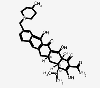 CC1CCN(Cc2ccc3cc4c(c(O)c3c2)C(=O)C2=C(O)[C@]3(O)C(=O)C(C(N)=O)=C(O)[C@@H](N(C)C)[C@@H]3C[C@@H]2C4)CC1